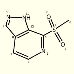 CS(=O)(=O)c1nccc2cn[nH]c12